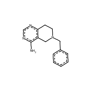 Nc1ncnc2c1CN(Cc1ccccc1)CC2